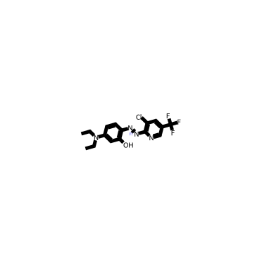 CCN(CC)c1ccc(/N=N/c2ncc(C(F)(F)F)cc2Cl)c(O)c1